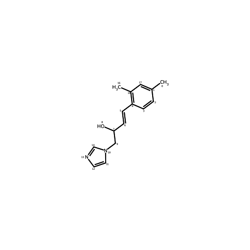 Cc1ccc(C=CC(O)Cn2ccnc2)c(C)c1